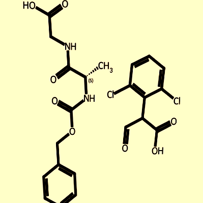 C[C@H](NC(=O)OCc1ccccc1)C(=O)NCC(=O)O.O=CC(C(=O)O)c1c(Cl)cccc1Cl